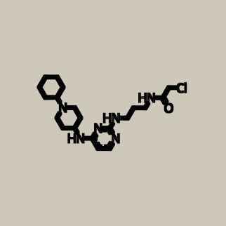 O=C(CCl)NCCCNc1nccc(NC2CCN(C3CCCCC3)CC2)n1